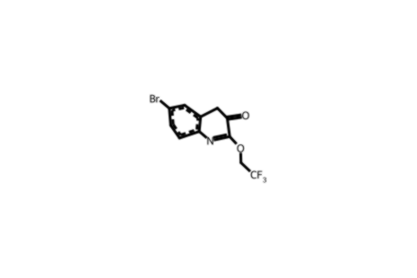 O=C1Cc2cc(Br)ccc2N=C1OCC(F)(F)F